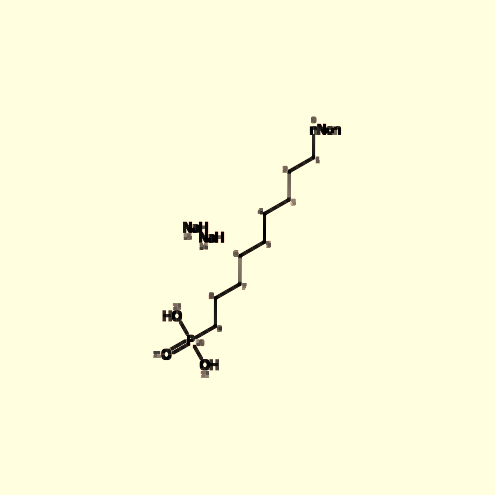 CCCCCCCCCCCCCCCCCCP(=O)(O)O.[NaH].[NaH]